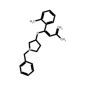 C=C(C)/C=C(/OC1CCN(Cc2ccccc2)C1)c1ccccc1C